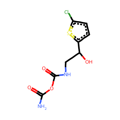 NC(=O)OC(=O)NCC(O)c1ccc(Cl)s1